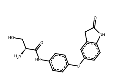 N[C@@H](CO)C(=O)Nc1ccc(Oc2ccc3c(c2)CC(=O)N3)cc1